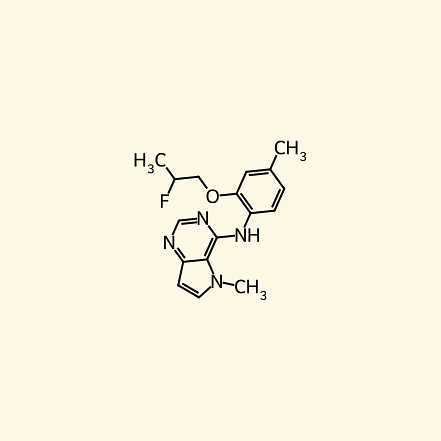 Cc1ccc(Nc2ncnc3ccn(C)c23)c(OCC(C)F)c1